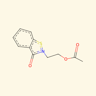 CC(=O)OCCn1sc2ccccc2c1=O